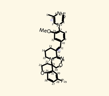 C=CN(/C=C(/C)N)c1ccc(/C=C2\CCCN3C2=NOCC32CCOc3ccc(F)cc32)cc1OC